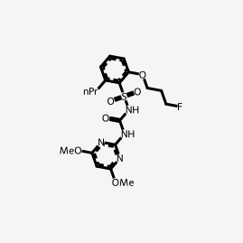 CCCc1cccc(OCCCF)c1S(=O)(=O)NC(=O)Nc1nc(OC)cc(OC)n1